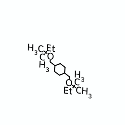 CCC(C)(C)OCC1CCC(COC(C)(C)CC)CC1